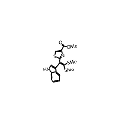 COC(=O)c1csc(C(=C(SC)SC)c2c[nH]c3ccccc23)n1